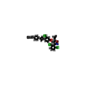 O=Cc1ccc(C2CC(c3ccc(OCc4c(-c5c(Cl)cccc5Cl)noc4C4CC4)cc3Cl)C2)cc1